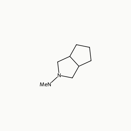 CNN1CC2CCCC2C1